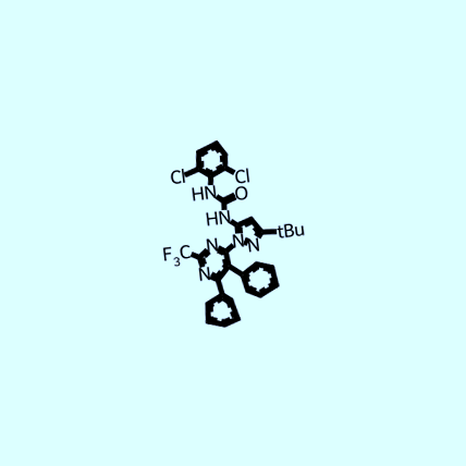 CC(C)(C)c1cc(NC(=O)Nc2c(Cl)cccc2Cl)n(-c2nc(C(F)(F)F)nc(-c3ccccc3)c2-c2ccccc2)n1